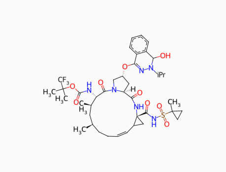 CC(C)N1N=C(O[C@@H]2C[C@H]3C(=O)N[C@]4(C(=O)NS(=O)(=O)C5(C)CC5)CC4/C=C\CC[C@@H](C)C[C@@H](C)[C@H](NC(=O)OC(C)(C)C(F)(F)F)C(=O)N3C2)c2ccccc2C1O